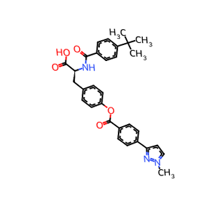 Cn1ccc(-c2ccc(C(=O)Oc3ccc(C[C@H](NC(=O)c4ccc(C(C)(C)C)cc4)C(=O)O)cc3)cc2)n1